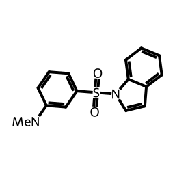 CNc1cccc(S(=O)(=O)n2ccc3ccccc32)c1